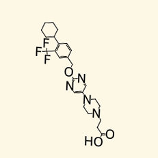 O=C(O)CCN1CCN(c2cnc(OCc3ccc(C4CCCCC4)c(C(F)(F)F)c3)nc2)CC1